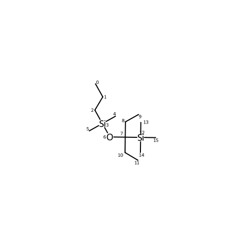 CCC[Si](C)(C)OC(CC)(CC)[Si](C)(C)C